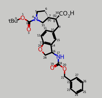 CC(C)(C)OC(=O)N1CC[C@H]([C@H](Cc2ccc3c(c2)C(NC(=O)OCc2ccccc2)CO3)C(=O)O)C1